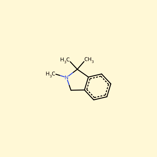 CN1Cc2ccccc2C1(C)C